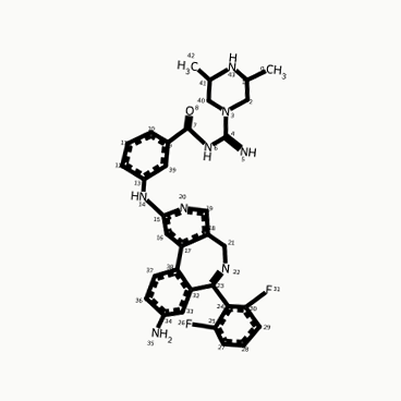 CC1CN(C(=N)NC(=O)c2cccc(Nc3cc4c(cn3)CN=C(c3c(F)cccc3F)c3cc(N)ccc3-4)c2)CC(C)N1